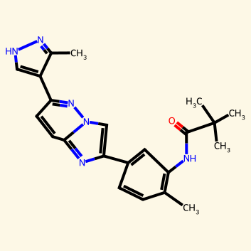 Cc1ccc(-c2cn3nc(-c4c[nH]nc4C)ccc3n2)cc1NC(=O)C(C)(C)C